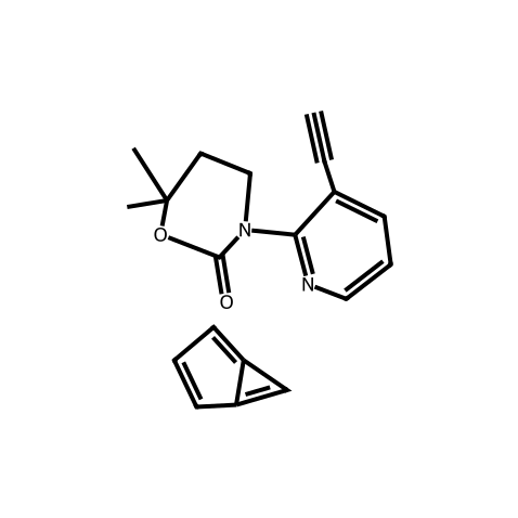 C#Cc1cccnc1N1CCC(C)(C)OC1=O.c1cc2cc-2c1